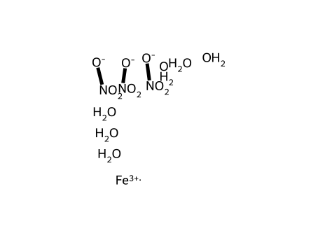 O.O.O.O.O.O.O=[N+]([O-])[O-].O=[N+]([O-])[O-].O=[N+]([O-])[O-].[Fe+3]